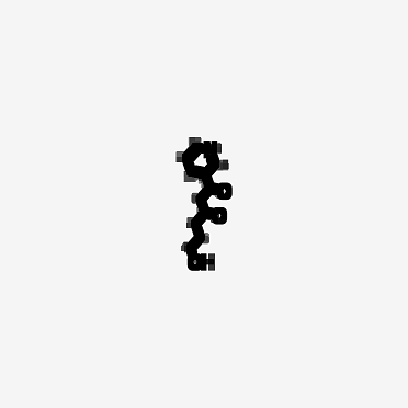 O=C(CCCO)CC(=O)c1cccnc1